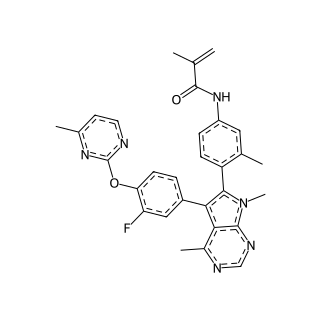 C=C(C)C(=O)Nc1ccc(-c2c(-c3ccc(Oc4nccc(C)n4)c(F)c3)c3c(C)ncnc3n2C)c(C)c1